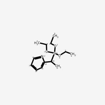 CCO[Si](OCC)(OCC)C(C)c1ccccn1